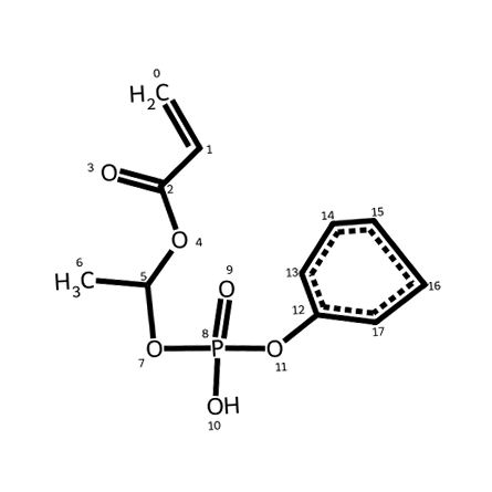 C=CC(=O)OC(C)OP(=O)(O)Oc1ccccc1